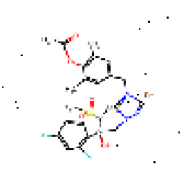 CC(=O)Oc1c(C)cc(C[n+]2cnn(C[C@](O)(c3ccc(F)cc3F)[C@@H](C)S(C)(=O)=O)c2)cc1C.[Br-]